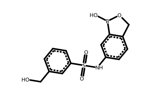 O=S(=O)(Nc1ccc2c(c1)B(O)OC2)c1cccc(CO)c1